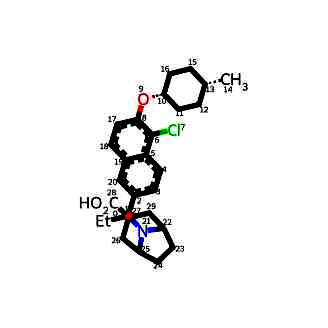 CCC(c1ccc2c(Cl)c(O[C@H]3CC[C@@H](C)CC3)ccc2c1)N1C2CCC1CC(C(=O)O)C2